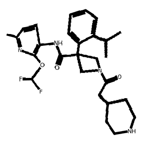 Cc1ccc(NC(=O)C2(c3ccccc3C(C)C)CN(C(=O)CC3CCNCC3)C2)c(OC(F)F)n1